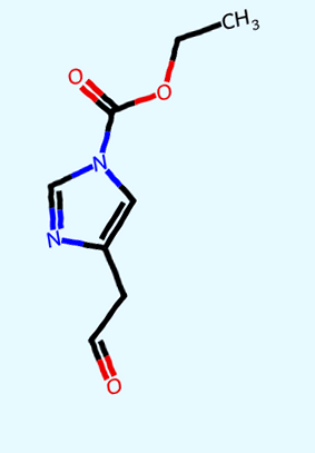 CCOC(=O)n1cnc(CC=O)c1